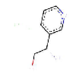 Cl.Cl.N[C@H](CO)c1cccnc1